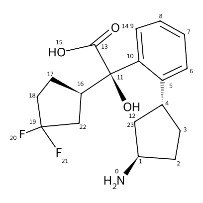 N[C@@H]1CC[C@@H](c2ccccc2[C@@](O)(C(=O)O)[C@@H]2CCC(F)(F)C2)C1